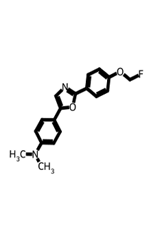 CN(C)c1ccc(-c2cnc(-c3ccc(OCF)cc3)o2)cc1